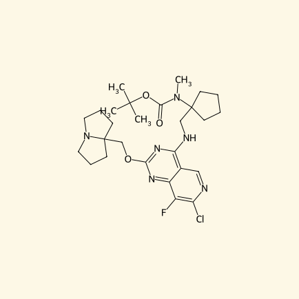 CN(C(=O)OC(C)(C)C)C1(CNc2nc(OCC34CCCN3CCC4)nc3c(F)c(Cl)ncc23)CCCC1